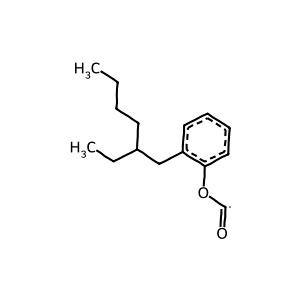 CCCCC(CC)Cc1ccccc1O[C]=O